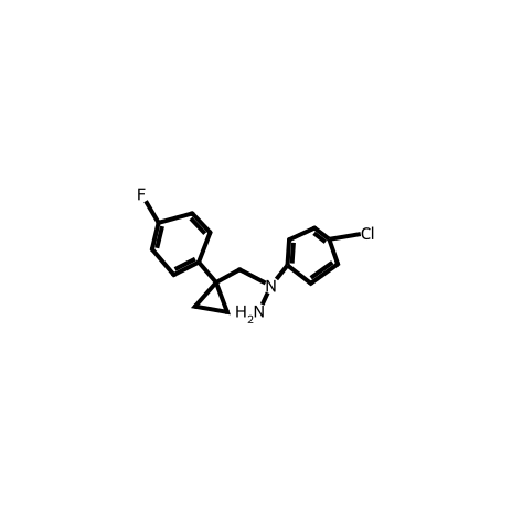 NN(CC1(c2ccc(F)cc2)CC1)c1ccc(Cl)cc1